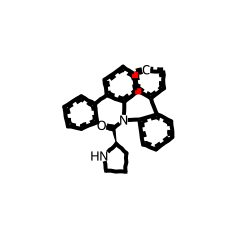 O=C([C@H]1CCCN1)N(c1ccccc1-c1ccccc1)c1ccccc1-c1ccccc1